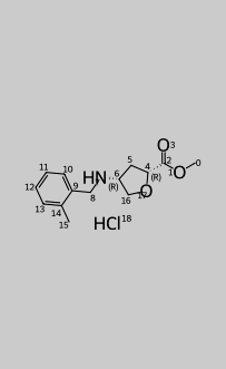 COC(=O)[C@H]1C[C@@H](NCc2ccccc2C)CO1.Cl